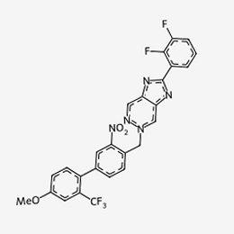 COc1ccc(-c2ccc(Cn3cc4nc(-c5cccc(F)c5F)nc-4cn3)c([N+](=O)[O-])c2)c(C(F)(F)F)c1